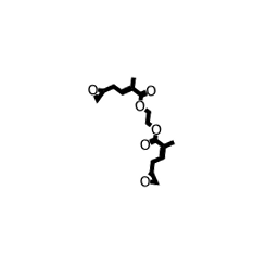 CC(=CCC1CO1)C(=O)OCCOC(=O)C(C)=CCC1CO1